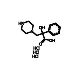 Cl.Cl.Cl.O=C(O)C(O)(CN1CCNCC1)c1ccccc1